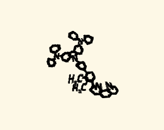 Cc1c(-c2ccc(-n3c4ccc(N(c5ccccc5)c5ccccc5)cc4c4cc(N(c5ccccc5)c5ccccc5)ccc43)cc2)ccc(-c2ccc3ccc4cccnc4c3n2)c1C